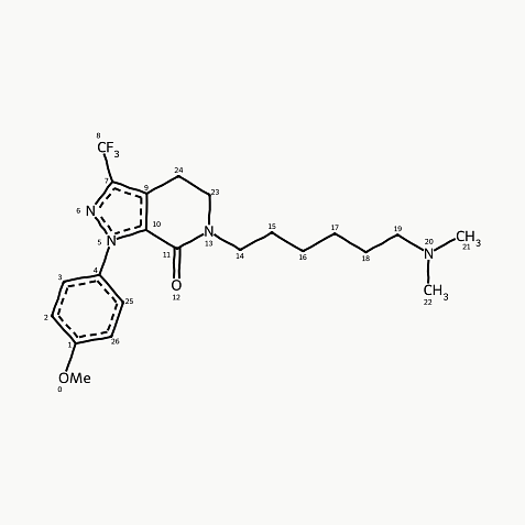 COc1ccc(-n2nc(C(F)(F)F)c3c2C(=O)N(CCCCCCN(C)C)CC3)cc1